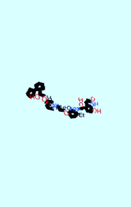 CCc1ccc(OCCC[N+]23CCC(CC2)[C@@H](OC[C@H](O)c2ccccc2C2CCCC2)C3)c(OC)c1NC[C@H](O)c1ccc(O)c2[nH]c(=O)ccc12